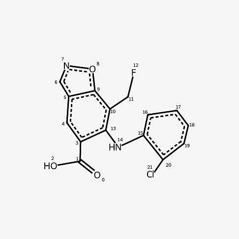 O=C(O)c1cc2cnoc2c(CF)c1Nc1ccccc1Cl